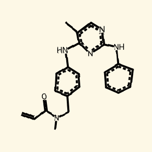 C=CC(=O)N(C)Cc1ccc(Nc2nc(Nc3ccccc3)ncc2C)cc1